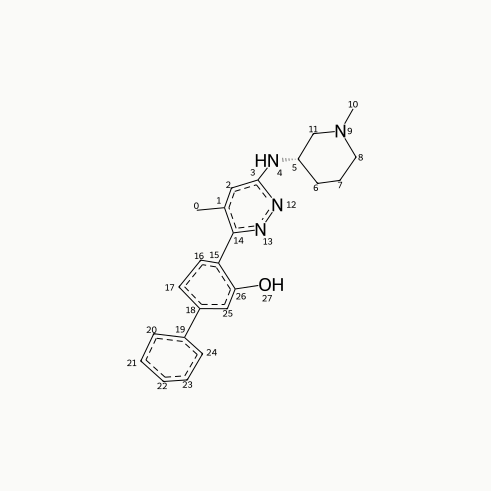 Cc1cc(N[C@H]2CCCN(C)C2)nnc1-c1ccc(-c2ccccc2)cc1O